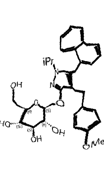 COc1ccc(Cc2c(O[C@@H]3O[C@H](CO)[C@@H](O)[C@H](O)[C@H]3O)nn(C(C)C)c2-c2cccc3ccccc23)cc1